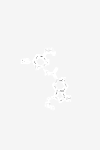 CC(Sc1nc(N)cc(C#N)n1)c1cc2c(CC(F)(F)F)c[nH]c2cn1